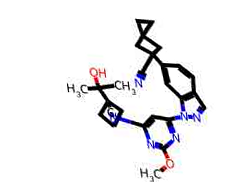 COc1nc(N2CC3(C(C)(C)O)CC2C3)cc(-n2ncc3ccc(C4(C#N)CC5(CC5)C4)cc32)n1